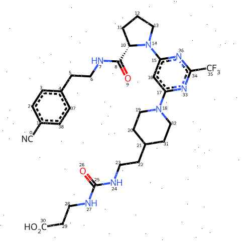 N#Cc1ccc(CCNC(=O)[C@@H]2CCCN2c2cc(N3CCC(CCNC(=O)NCCC(=O)O)CC3)nc(C(F)(F)F)n2)cc1